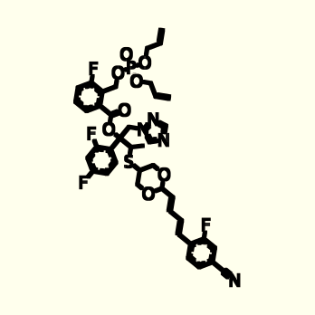 C=CCOP(=O)(OCC=C)OCc1c(F)cccc1C(=O)OC(Cn1cncn1)(c1ccc(F)cc1F)C(C)SC1COC(C=CC=Cc2ccc(C#N)cc2F)OC1